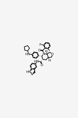 Cc1cccc(F)c1C(=O)N1[C@@H]2COC[C@@H]2C[C@H](C(=O)Nc2ccc3[nH]ncc3c2)[C@@H]1c1ccc(NC2CCCC2)cc1